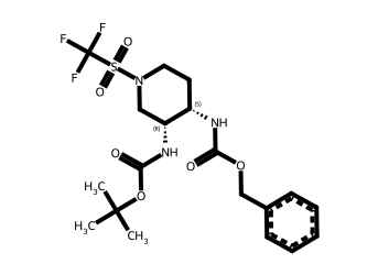 CC(C)(C)OC(=O)N[C@@H]1CN(S(=O)(=O)C(F)(F)F)CC[C@@H]1NC(=O)OCc1ccccc1